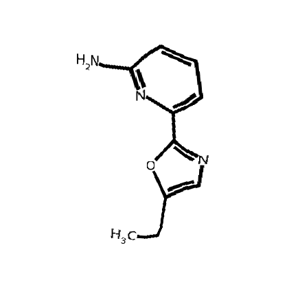 CCc1cnc(-c2cccc(N)n2)o1